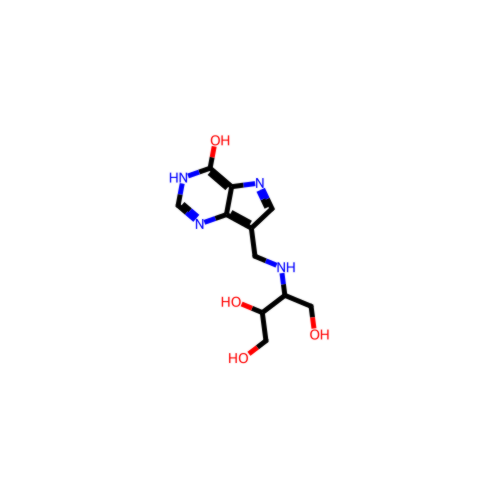 OCC(O)C(CO)NCc1cnc2c(O)[nH]cnc1-2